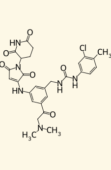 Cc1ccc(NC(=O)NCc2cc(NC3=CC(=O)N(C4CCC(=O)NC4=O)C3=O)cc(C(=O)CN(C)C)c2)cc1Cl